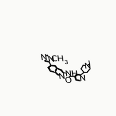 Cn1cncc1-c1ccc2cnc(NC(=O)c3ccnc(C4CCN(I)CC4)c3)cc2c1